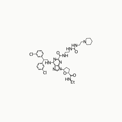 CCNC(=O)[C@@H]1CC[C@H](n2cnc3c(NCC(c4cccc(Cl)c4)c4cccc(Cl)c4)nc(C(=O)NCCNC(=O)NCCN4CCCCC4)nc32)O1